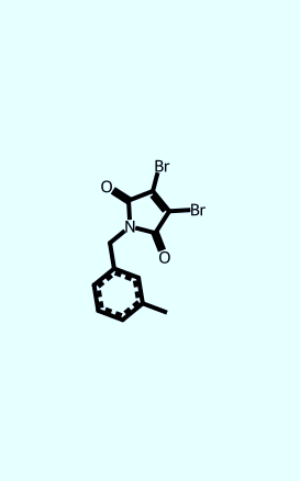 Cc1cccc(CN2C(=O)C(Br)=C(Br)C2=O)c1